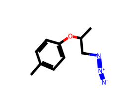 Cc1ccc(OC(C)CN=[N+]=[N-])cc1